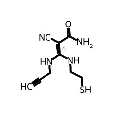 C#CCN/C(NCCS)=C(\C#N)C(N)=O